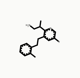 Cc1ccccc1CCc1cc(F)cnc1C(C)CN